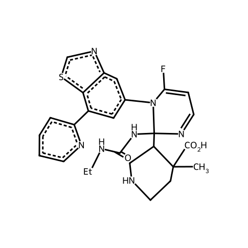 CCNC(=O)NC1(C2CNCCC2(C)C(=O)O)N=CC=C(F)N1c1cc(-c2ccccn2)c2scnc2c1